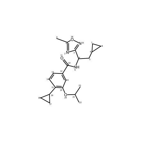 Cc1nc(C(CC2CC2)NC(=O)c2ccc(C3CC3)c(OC(C)C)c2)no1